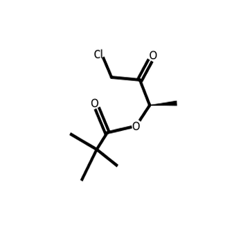 C[C@@H](OC(=O)C(C)(C)C)C(=O)CCl